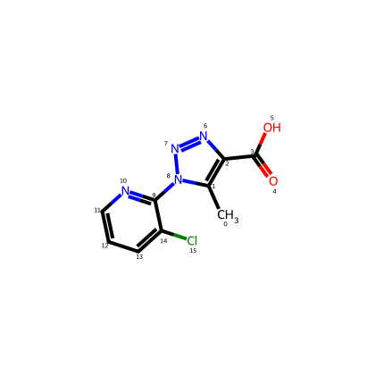 Cc1c(C(=O)O)nnn1-c1ncccc1Cl